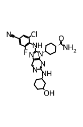 N#Cc1cc(F)c(Nc2nc3cnc(N[C@@H]4CCC[C@H](O)C4)nc3n2[C@H]2CC[C@@H](C(N)=O)CC2)c(Cl)c1